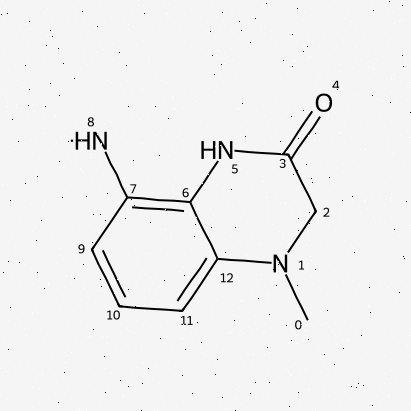 CN1CC(=O)Nc2c([NH])cccc21